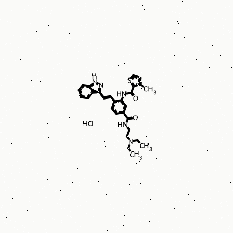 CCN(CC)CCNC(=O)c1ccc(C=Cc2n[nH]c3ccccc23)c(NC(=O)c2sccc2C)c1.Cl